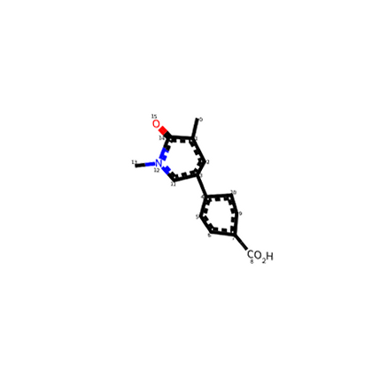 Cc1cc(-c2ccc(C(=O)O)cc2)cn(C)c1=O